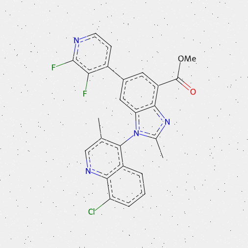 COC(=O)c1cc(-c2ccnc(F)c2F)cc2c1nc(C)n2-c1c(C)cnc2c(Cl)cccc12